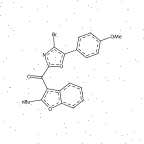 CCCCc1oc2ccccc2c1C(=O)c1nc(Br)c(-c2ccc(OC)cc2)o1